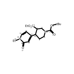 CCOC(=O)C1CN(C(=O)OC(C)(C)C)CCC1c1ccn(CC)c(=O)c1